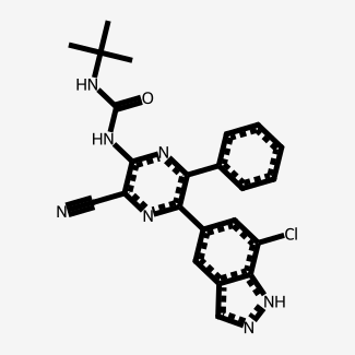 CC(C)(C)NC(=O)Nc1nc(-c2ccccc2)c(-c2cc(Cl)c3[nH]ncc3c2)nc1C#N